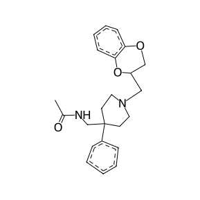 CC(=O)NCC1(c2ccccc2)CCN(CC2COc3ccccc3O2)CC1